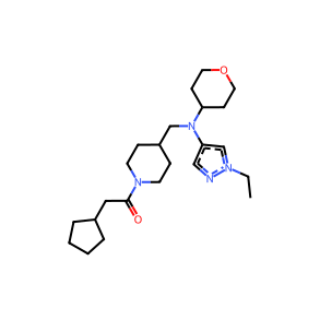 CCn1cc(N(CC2CCN(C(=O)CC3CCCC3)CC2)C2CCOCC2)cn1